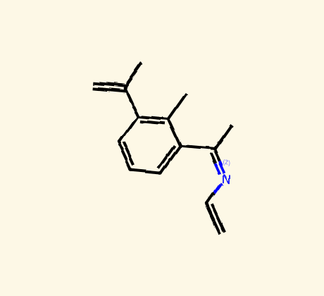 C=C/N=C(/C)c1cccc(C(=C)C)c1C